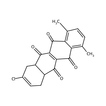 Cc1ccc(C)c2c1C(=O)C1=C(C2=O)C(=O)C2CC(Cl)=CCC2C1=O